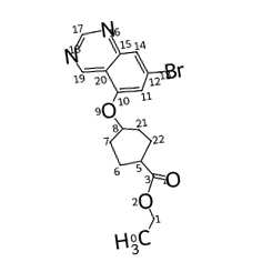 CCOC(=O)C1CCC(Oc2cc(Br)cc3ncncc23)CC1